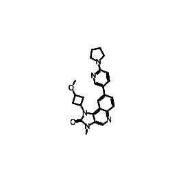 COC1CC(n2c(=O)n(C)c3cnc4ccc(-c5ccc(N6CCCC6)nc5)cc4c32)C1